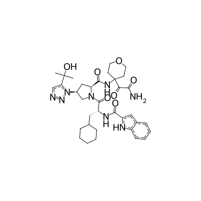 CC(C)(O)c1cnnn1[C@H]1C[C@@H](C(=O)NC2(C(=O)C(N)=O)CCOCC2)N(C(=O)[C@@H](CC2CCCCC2)NC(=O)c2cc3ccccc3[nH]2)C1